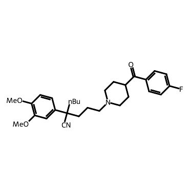 CCCCC(C#N)(CCCN1CCC(C(=O)c2ccc(F)cc2)CC1)c1ccc(OC)c(OC)c1